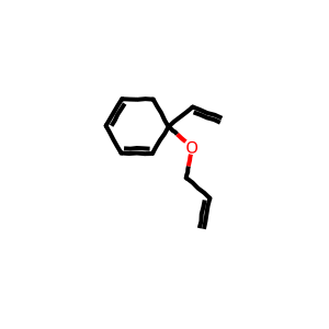 C=CCOC1(C=C)C=CC=CC1